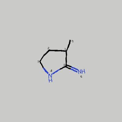 CC1CCNC1=N